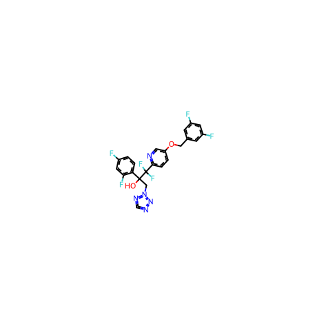 OC(Cn1ncnn1)(c1ccc(F)cc1F)C(F)(F)c1ccc(OCc2cc(F)cc(F)c2)cn1